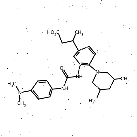 CC1CC(C)CN(c2ccc(C(C)CC(=O)O)cc2NC(=O)Nc2ccc(N(C)C)cc2)C1